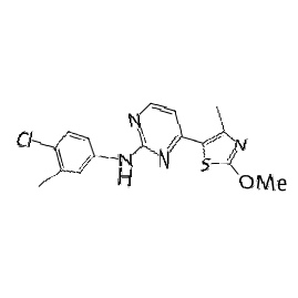 COc1nc(C)c(-c2ccnc(Nc3ccc(Cl)c(C)c3)n2)s1